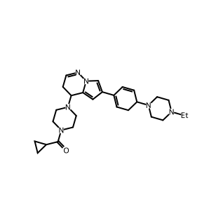 CCN1CCN(C2C=CC(c3cc4n(c3)N=CCC4N3CCN(C(=O)C4CC4)CC3)=CC2)CC1